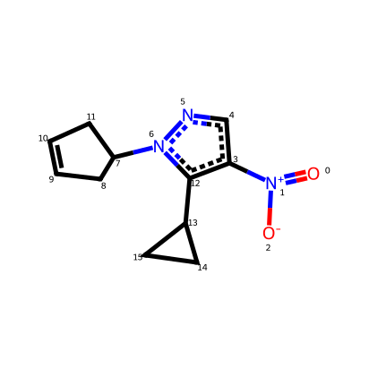 O=[N+]([O-])c1cnn(C2CC=CC2)c1C1CC1